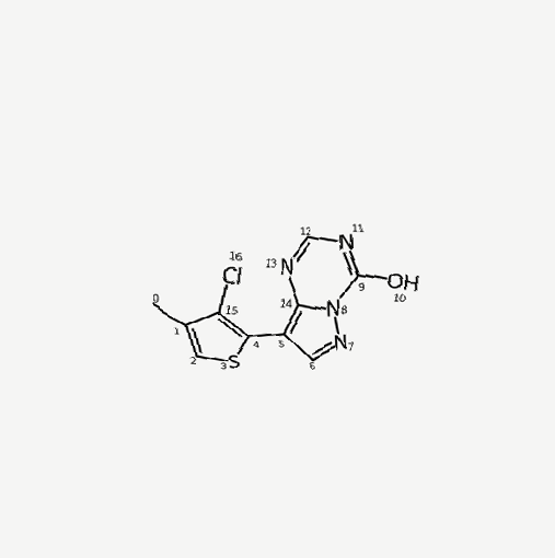 Cc1csc(-c2cnn3c(O)ncnc23)c1Cl